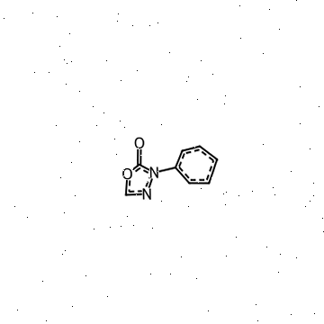 O=c1ocnn1-c1ccccc1